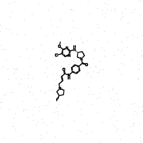 COc1nc(N[C@@H]2CCN(C(=O)c3ccc(NC(=O)/C=C/CN4CC[C@@H](F)C4)cc3)C2)ncc1Cl